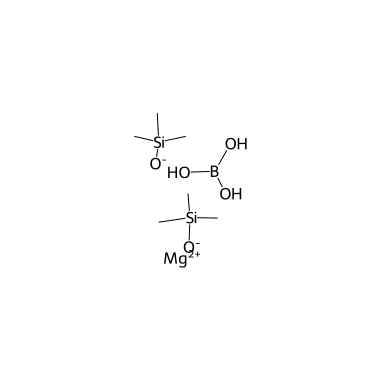 C[Si](C)(C)[O-].C[Si](C)(C)[O-].OB(O)O.[Mg+2]